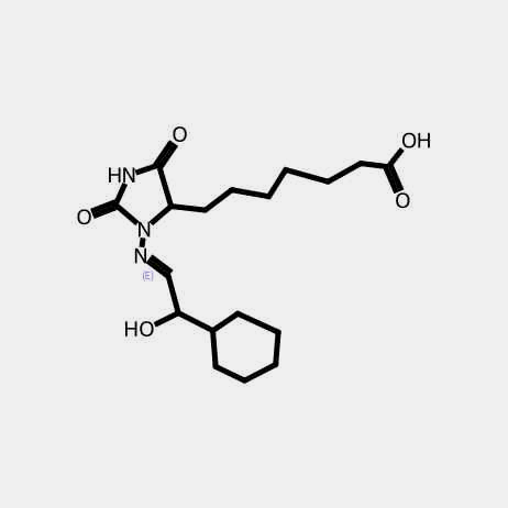 O=C(O)CCCCCCC1C(=O)NC(=O)N1/N=C/C(O)C1CCCCC1